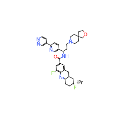 CC(C)[C@]1(F)CCc2nc3c(F)cc(C(=O)N[C@H](CCN4CCC5(CCOC5)CC4)c4ccc(-c5ccnnc5)nc4)cc3cc2C1